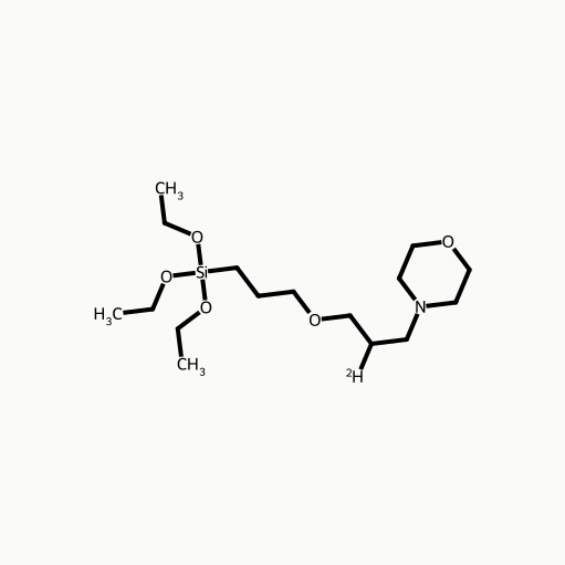 [2H]C(COCCC[Si](OCC)(OCC)OCC)CN1CCOCC1